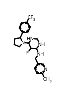 Cc1ccc(CNC2NCNC(N3CCCC3c3ccc(C(F)(F)F)cc3)C2F)cn1